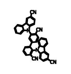 N#Cc1ccc2c(c1)c1ccccc1n2-c1cc(-c2cccc(C#N)c2-n2c3ccccc3c3cc(C#N)ccc32)ccc1C#N